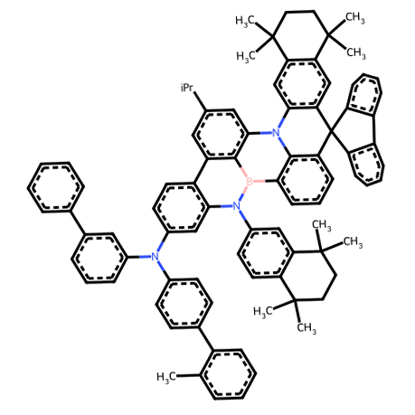 Cc1ccccc1-c1ccc(N(c2cccc(-c3ccccc3)c2)c2ccc3c(c2)N(c2ccc4c(c2)C(C)(C)CCC4(C)C)B2c4cccc5c4N(c4cc6c(cc4C54c5ccccc5-c5ccccc54)C(C)(C)CCC6(C)C)c4cc(C(C)C)cc-3c42)cc1